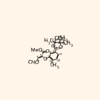 COC(=O)/C(=C/C=O)Oc1cc(B2OC(C)(C)C(C)(C)O2)ccc1C